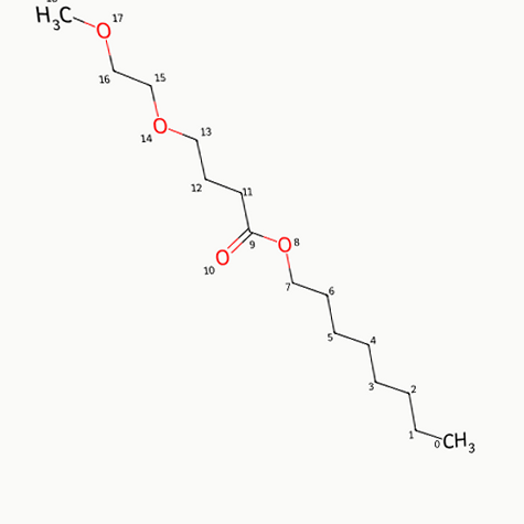 CCCCCCCCOC(=O)CCCOCCOC